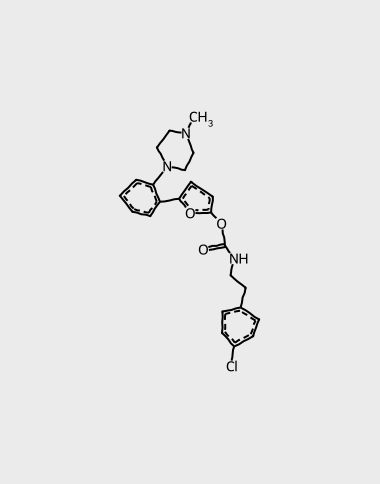 CN1CCN(c2ccccc2-c2ccc(OC(=O)NCCc3ccc(Cl)cc3)o2)CC1